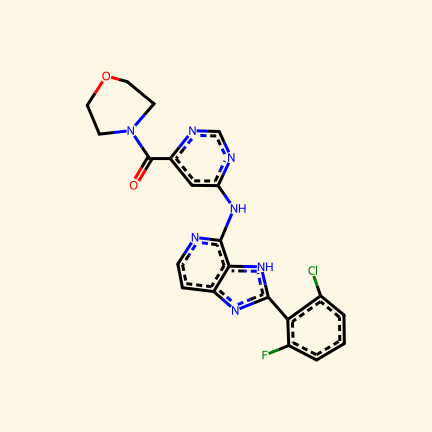 O=C(c1cc(Nc2nccc3nc(-c4c(F)cccc4Cl)[nH]c23)ncn1)N1CCOCC1